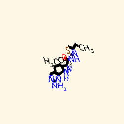 CCc1csc(NC(=O)c2n[nH]c3c2C(C)(C)Cc2cnc(N)nc2-3)n1